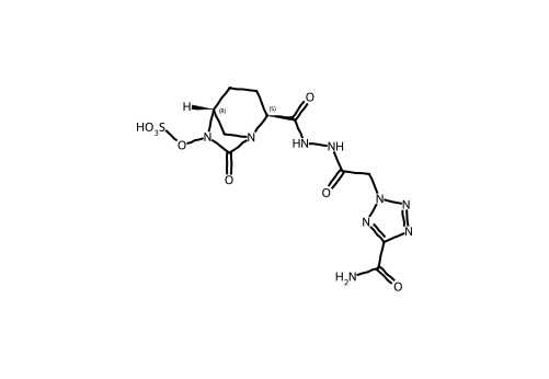 NC(=O)c1nnn(CC(=O)NNC(=O)[C@@H]2CC[C@@H]3CN2C(=O)N3OS(=O)(=O)O)n1